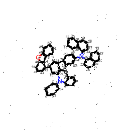 c1ccc(N2c3ccccc3B3c4cc(N(c5cccc6ccccc56)c5cccc6ccccc56)ccc4-c4cc(-c5cccc6oc7ccccc7c56)cc2c43)cc1